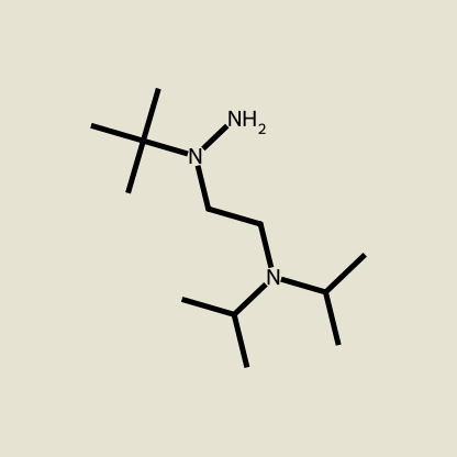 CC(C)N(CCN(N)C(C)(C)C)C(C)C